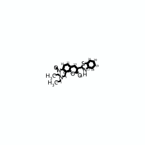 CCN(CC)Cc1c(N=O)ccc2cc(C3Nc4ccccc4S3)c(=O)oc12